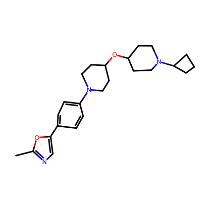 Cc1ncc(-c2ccc(N3CCC(OC4CCN(C5CCC5)CC4)CC3)cc2)o1